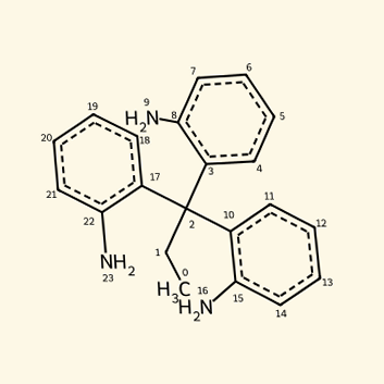 CCC(c1ccccc1N)(c1ccccc1N)c1ccccc1N